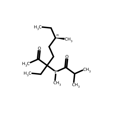 CC[C@@H](C)CCC(CC)(C(C)=O)P(C)C(=O)C(C)C